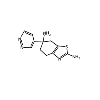 Nc1nc2c(s1)CC(N)(c1ccnnc1)CC2